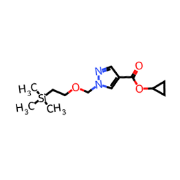 C[Si](C)(C)CCOCn1cc(C(=O)OC2CC2)cn1